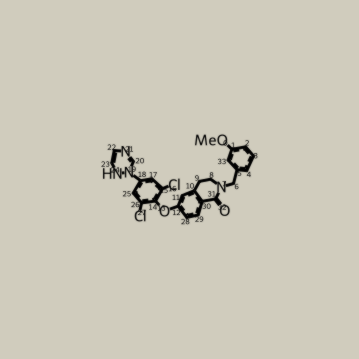 COc1cccc(CN2CCc3cc(Oc4c(Cl)cc(N5C=NC=CN5)cc4Cl)ccc3C2=O)c1